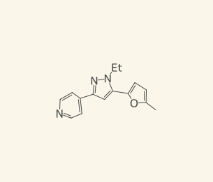 CCn1nc(-c2ccncc2)cc1-c1ccc(C)o1